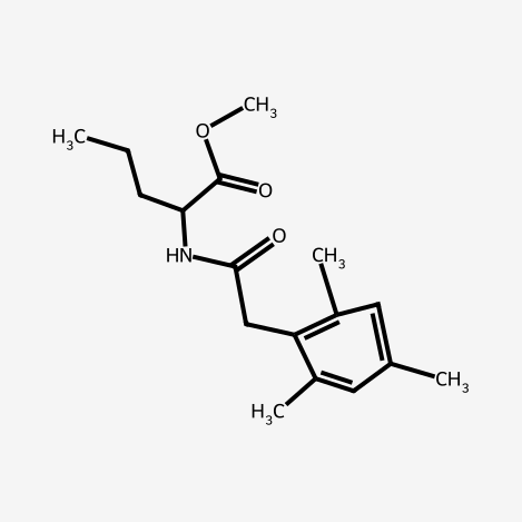 CCCC(NC(=O)Cc1c(C)cc(C)cc1C)C(=O)OC